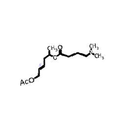 CC(=O)OC/C=C/CC(C)OC(=O)CCCN(C)C